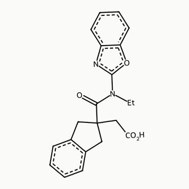 CCN(C(=O)C1(CC(=O)O)Cc2ccccc2C1)c1nc2ccccc2o1